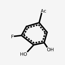 CC(=O)c1cc(O)c(O)c(F)c1